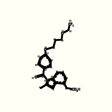 Cc1cc2c(CC(=O)O)cccc2n1C(=O)c1ccc(OCCCOCC(F)(F)F)cc1